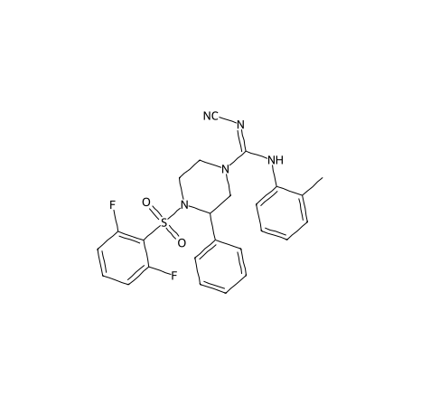 Cc1ccccc1N/C(=N/C#N)N1CCN(S(=O)(=O)c2c(F)cccc2F)C(c2ccccc2)C1